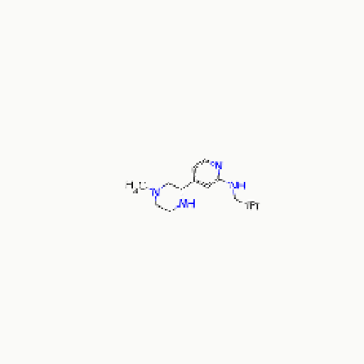 CC(C)CNc1cc(C2CN(C)CCN2)ccn1